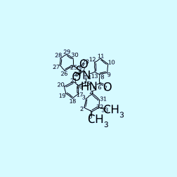 Cc1ccc(NC(=O)c2ccccc2N(Cc2ccccc2)S(=O)(=O)c2ccccc2)cc1C